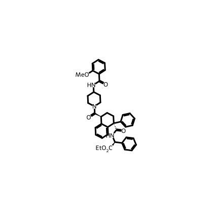 CCOC(=O)[C@@H](NC(=O)[C@@]1(c2ccccc2)CC[C@H](C(=O)N2CCC(NC(=O)c3ccccc3OC)CC2)c2ccccc21)c1ccccc1